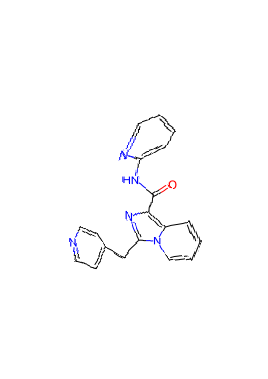 O=C(Nc1ccccn1)c1nc(Cc2ccncc2)n2ccccc12